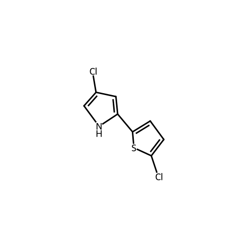 Clc1c[nH]c(-c2ccc(Cl)s2)c1